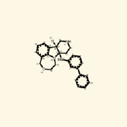 c1ccc(-c2cccc(N[C@]34CCNC[C@H]3c3cccc5c3N4CCOC5)c2)cc1